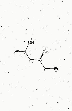 CC(C)C[C@H](O)C[C@@H](C)O